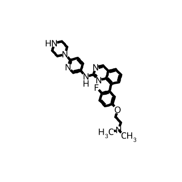 CN(C)CCOc1ccc(F)c(-c2cccc3cnc(Nc4ccc(N5CCNCC5)nc4)nc23)c1